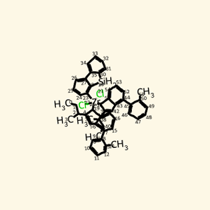 CCC(C)C1=Cc2c(-c3ccccc3C)cccc2[CH]1[Zr]([Cl])([Cl])([c]1cccc2c1[SiH2]c1ccccc1-2)[CH]1C(C(C)CC)=Cc2c(-c3ccccc3C)cccc21